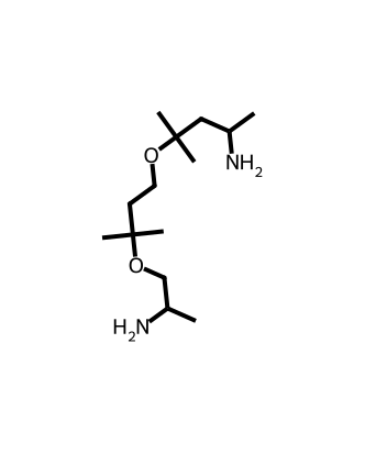 CC(N)COC(C)(C)CCOC(C)(C)CC(C)N